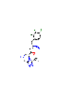 N[C@@H](CC(=O)C1CNCc2nnc(C(F)(F)F)n21)Cc1ccc(F)c(F)c1F